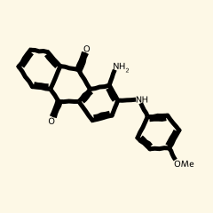 COc1ccc(Nc2ccc3c(c2N)C(=O)c2ccccc2C3=O)cc1